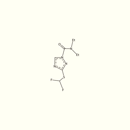 CCN(CC)C(=O)n1cnc(SC(F)F)n1